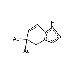 CC(=O)C1(C(C)=O)C=Cc2[nH]ccc2C1